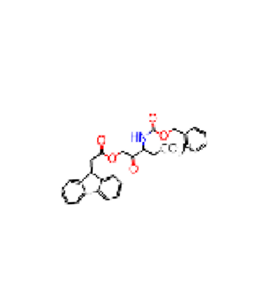 O=C(O)CC(NC(=O)OCc1ccccc1)C(=O)COC(=O)CC1c2ccccc2-c2ccccc21